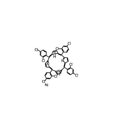 Clc1ccc(-c2c3nc(c(-c4ccc(Cl)cc4Cl)c4ccc([nH]4)c(-c4ccc(Cl)cc4Cl)c4nc(c(-c5ccc(Cl)cc5Cl)c5ccc2[nH]5)C=C4)C=C3)c(Cl)c1.[Ni]